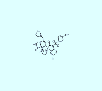 COc1ccc(S(=O)(=O)N2C(=O)C(c3cc(CN4CCCC4)ccc3OC)(N3CCC[C@@H]3OC(=O)N(C)C)c3cc(Cl)ccc32)cc1